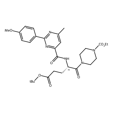 CCOC(=O)N1CCN(C(=O)[C@H](CCC(=O)OC(C)(C)C)NC(=O)c2cc(C)nc(-c3ccc(OC)cc3)n2)CC1